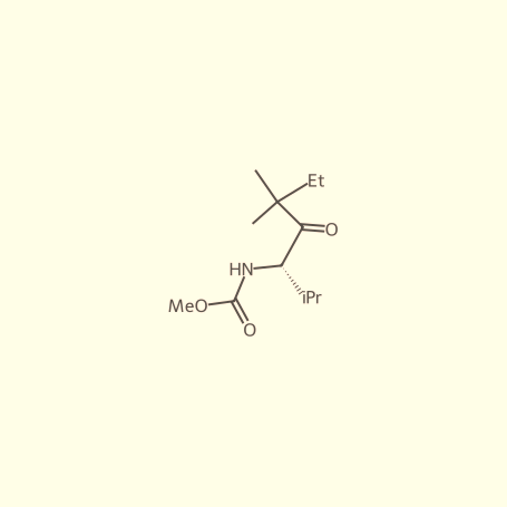 CCC(C)(C)C(=O)[C@@H](NC(=O)OC)C(C)C